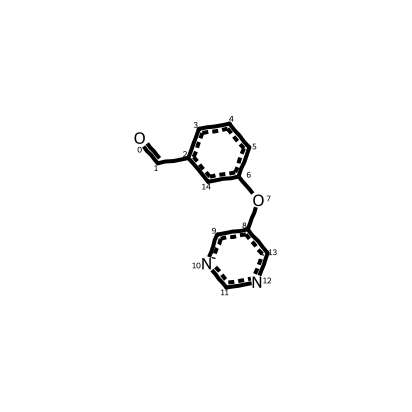 O=Cc1cccc(Oc2cncnc2)c1